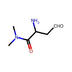 CN(C)C(=O)C(N)CC=O